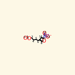 O=COCCCCc1coc([N+](=O)[O-])c1